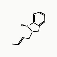 CC=CCN1Cc2ccccc2[S+]1[O-]